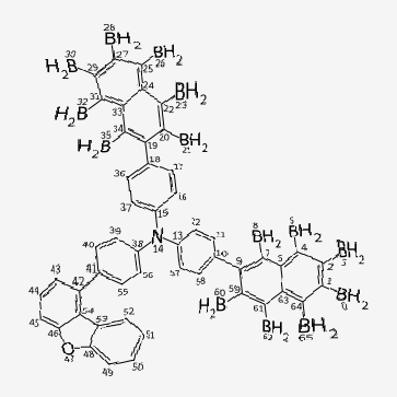 Bc1c(B)c(B)c2c(B)c(-c3ccc(N(c4ccc(-c5c(B)c(B)c6c(B)c(B)c(B)c(B)c6c5B)cc4)c4ccc(-c5cccc6oc7ccccc7c56)cc4)cc3)c(B)c(B)c2c1B